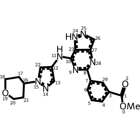 COC(=O)c1cccc(-c2nc(Nc3cnn(C4CCOCC4)c3)c3[nH]ncc3n2)c1